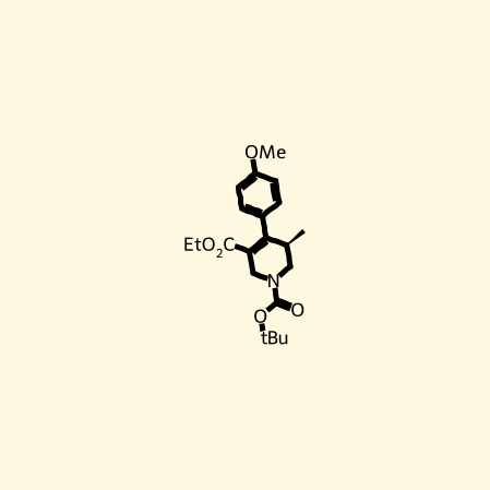 CCOC(=O)C1=C(c2ccc(OC)cc2)[C@@H](C)CN(C(=O)OC(C)(C)C)C1